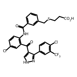 O=C(O)CCSCc1cccc(C(=O)Nc2ccc(Cl)cc2C(=O)c2c[nH]nc2-c2ccc(Cl)c(C(F)(F)F)c2)c1